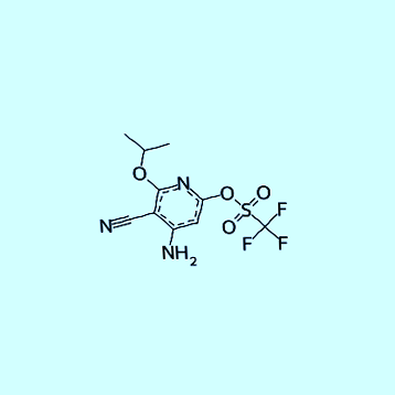 CC(C)Oc1nc(OS(=O)(=O)C(F)(F)F)cc(N)c1C#N